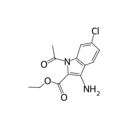 CCOC(=O)c1c(N)c2ccc(Cl)cc2n1C(C)=O